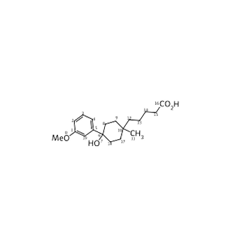 COc1cccc(C2(O)CCC(C)(CCCCC(=O)O)CC2)c1